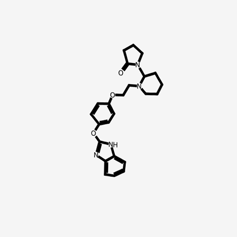 O=C1CCCN1C1CCCCN1CCOc1ccc(Oc2nc3ccccc3[nH]2)cc1